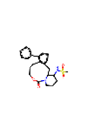 CS(=O)(=O)NC1CCCN2C(=O)OCCCc3c(cccc3-c3ccccc3)CC12